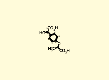 CC(Oc1ccc([C@@H](O)C(=O)O)cc1)C(=O)O